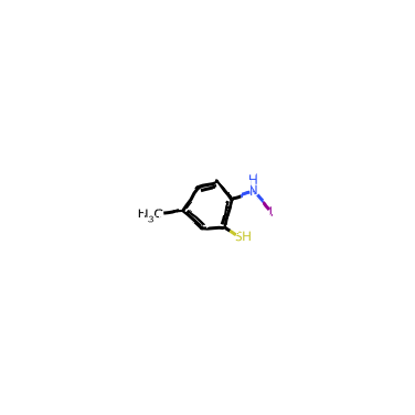 Cc1ccc(NI)c(S)c1